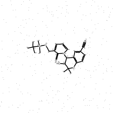 CC1(C)Oc2ccc(C#N)cc2C(n2cccc(CO[Si](C)(C)C(C)(C)C)c2=O)C1O